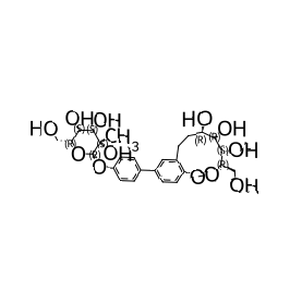 C[C@@]1(O)[C@@H](Oc2ccc(-c3ccc4c(c3)CC[C@@H](O)[C@@H](O)[C@H](O)[C@@H](CO)OO4)cc2)O[C@H](CO)[C@@H](O)[C@@H]1O